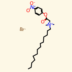 CCCCCCCCCCCCCC[N+](C)(C)CC(=O)Oc1ccc([N+](=O)[O-])cc1.[Br-]